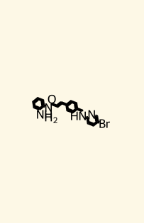 Nc1ccccc1NC(=O)C=Cc1ccc(CNc2ccc(Br)cn2)cc1